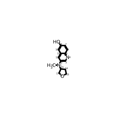 CN(c1cnc2ccc(O)cc2c1)C1CCOC1